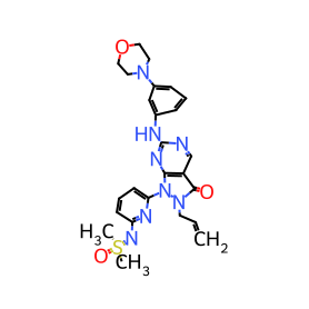 C=CCn1c(=O)c2cnc(Nc3cccc(N4CCOCC4)c3)nc2n1-c1cccc(N=S(C)(C)=O)n1